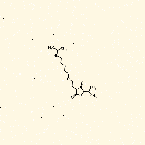 CC(C)NCCOCCOCCC1C(=O)CC(C(C)C)C1=O